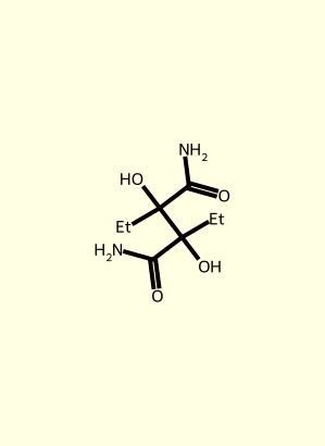 CCC(O)(C(N)=O)C(O)(CC)C(N)=O